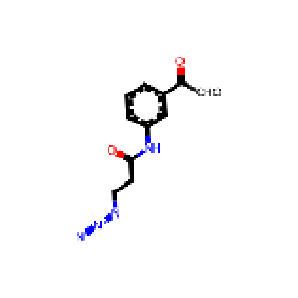 [N-]=[N+]=NCCC(=O)Nc1cccc(C(=O)C=O)c1